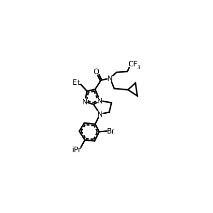 CCc1nc2n(c1C(=O)N(CCC(F)(F)F)CC1CC1)CCN2c1ccc(C(C)C)cc1Br